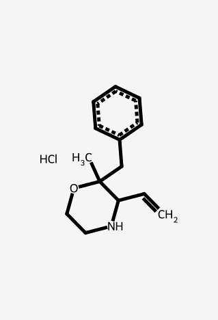 C=CC1NCCOC1(C)Cc1ccccc1.Cl